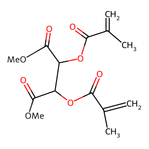 C=C(C)C(=O)OC(C(=O)OC)C(OC(=O)C(=C)C)C(=O)OC